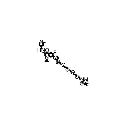 Cc1cc(CNCc2cn(C3CC3)c3cc(N4CC[C@@H](N(C)CCOCCOCCOCCOCCNC(=O)OC(C)(C)C)C4)c(F)cc3c2=O)ccn1